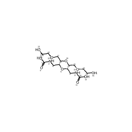 O=C(O)NCCOCCNC(=O)O.OCCOCCOCCOCCO